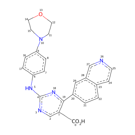 O=C(O)c1cnc(Nc2ccc(N3CCOCC3)cc2)nc1-c1ccc2ccncc2c1